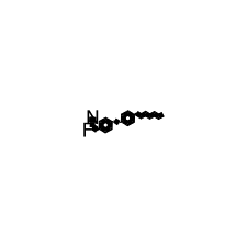 CCCCCCC[C@H]1CC[C@H](CC[C@H]2CC[C@H](/C=C(/F)C#N)CC2)CC1